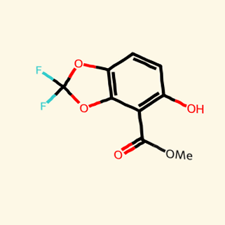 COC(=O)c1c(O)ccc2c1OC(F)(F)O2